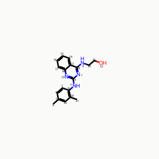 Cc1ccc(Nc2nc(NCCO)c3ccccc3n2)c(C)c1